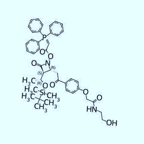 C[C@@H](O[Si](C)(C)C(C)(C)C)[C@H]1C(=O)N(OC(=O)C=P(c2ccccc2)(c2ccccc2)c2ccccc2)[C@@H]1CC(=O)c1ccc(OCC(=O)NCCO)cc1